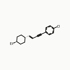 CC[C@H]1CC[C@H](/C=C/C#Cc2ccc(Cl)cc2)CC1